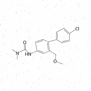 COCc1cc(NC(=O)N(C)C)ccc1-c1ccc(Cl)cc1